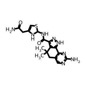 CC1(C)Cc2cnc(N)nc2-c2[nH]nc(C(=O)NC3NC(CC(N)=O)=CS3)c21